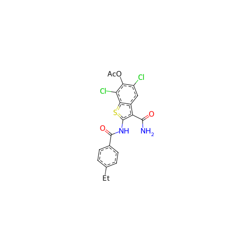 CCc1ccc(C(=O)Nc2sc3c(Cl)c(OC(C)=O)c(Cl)cc3c2C(N)=O)cc1